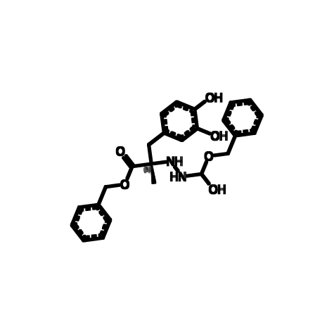 C[C@@](Cc1ccc(O)c(O)c1)(NNC(O)OCc1ccccc1)C(=O)OCc1ccccc1